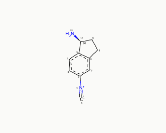 [C-]#[N+]c1ccc2c(c1)CC[C@@H]2N